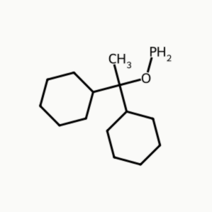 CC(OP)(C1CCCCC1)C1CCCCC1